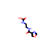 O=C(O)NCCNC(=O)c1cocn1